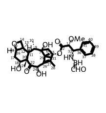 CO[C@@H](C(=O)O[C@H]1C[C@@]2(O)[C@@H](C)[C@@H]3[C@]4(C)CO[C@@H]4C[C@H](O)[C@@]3(C)C(=O)[C@H](O)C(=C1C)C2(C)C)[C@@H](NBC=O)c1ccccc1